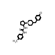 Cc1ccc(NC(=S)NC2CCCC2N2CCC(Cc3ccc(Cl)cc3)CC2)cc1